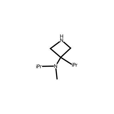 CC(C)N(C)C1(C(C)C)CNC1